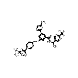 Cc1cnc(-c2cc(OCC3CCN(C(=O)OC(C)(C)C)CC3)cc(C(=O)NC(C)c3cnc(C(F)(F)F)nc3)c2)s1